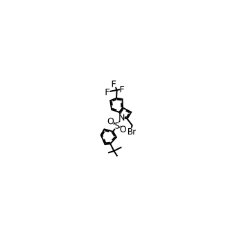 CC(C)(C)c1cccc(S(=O)(=O)n2c(CBr)cc3cc(C(F)(F)F)ccc32)c1